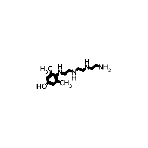 Cc1cc(O)cc(C)c1NCCNCCNCCN